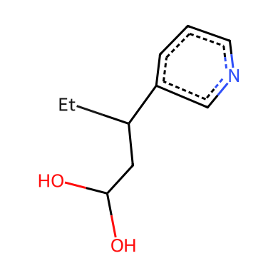 CCC(CC(O)O)c1cccnc1